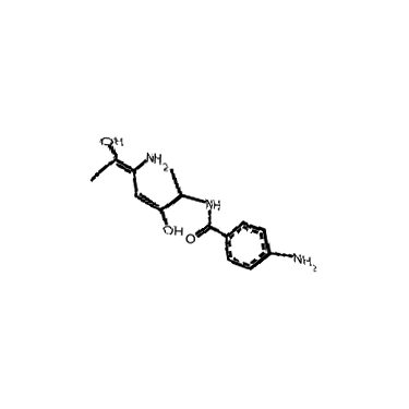 C/C(O)=C(N)\C=C(\O)C(C)NC(=O)c1ccc(N)cc1